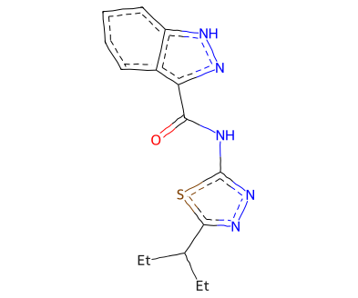 CCC(CC)c1nnc(NC(=O)c2n[nH]c3ccccc23)s1